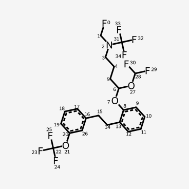 FCN(CCCC(Oc1ccccc1CCc1cccc(OC(F)(F)F)c1)OC(F)F)C(F)(F)F